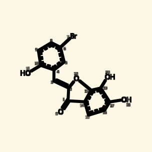 O=C1/C(=C/c2cc(Br)ccc2O)Oc2c1ccc(O)c2O